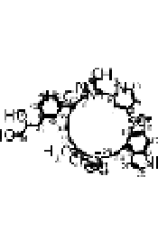 Cn1nc2nc1-c1cc(ccn1)[S+]([O-])c1c(F)cc3[nH]ccc3c1CCS(=O)(=O)CC(C)(C)CCC[C@]2(C)c1cccc(C[C@H](O)CO)c1